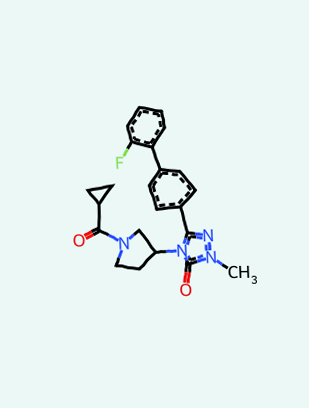 Cn1nc(-c2ccc(-c3ccccc3F)cc2)n(C2CCN(C(=O)C3CC3)C2)c1=O